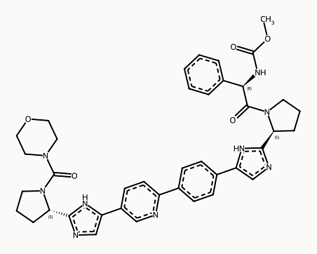 COC(=O)N[C@@H](C(=O)N1CCC[C@H]1c1ncc(-c2ccc(-c3ccc(-c4cnc([C@@H]5CCCN5C(=O)N5CCOCC5)[nH]4)cn3)cc2)[nH]1)c1ccccc1